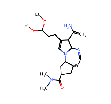 C=C(N)C1C(CCC(OCC)OCC)=CN(C2CCC(C(=O)N(C)C)C2)C1/N=C\CCC